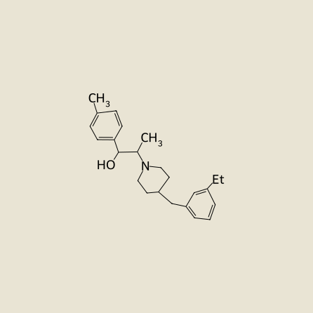 CCc1cccc(CC2CCN(C(C)C(O)c3ccc(C)cc3)CC2)c1